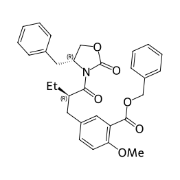 CC[C@H](Cc1ccc(OC)c(C(=O)OCc2ccccc2)c1)C(=O)N1C(=O)OC[C@H]1Cc1ccccc1